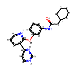 O=C(CC1CCCCC1)Nc1cccc(Oc2ncccc2-c2ccncn2)c1